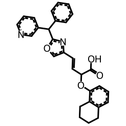 O=C(O)C(C=Cc1coc(C(c2ccccc2)c2cccnc2)n1)Oc1cccc2c1CCCC2